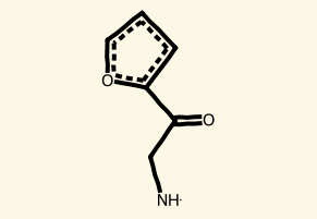 [NH]CC(=O)c1ccco1